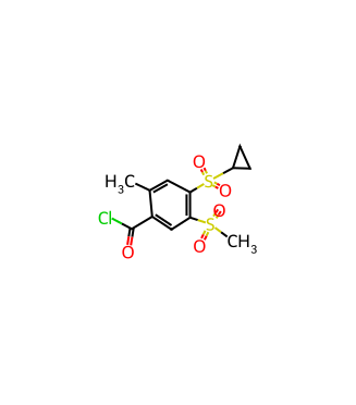 Cc1cc(S(=O)(=O)C2CC2)c(S(C)(=O)=O)cc1C(=O)Cl